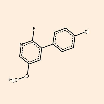 [CH2]Oc1cnc(F)c(-c2ccc(Cl)cc2)c1